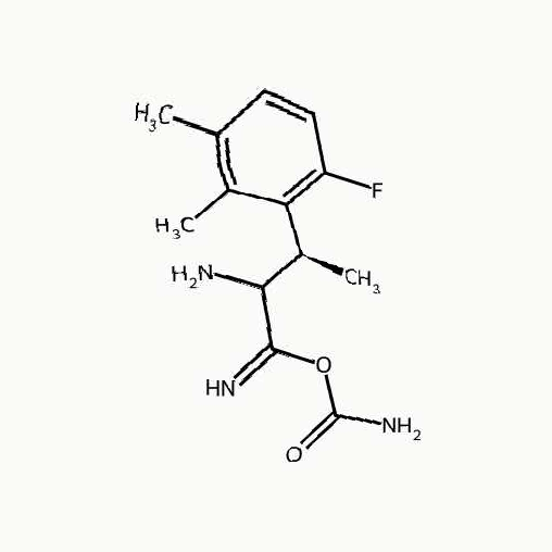 Cc1ccc(F)c([C@@H](C)C(N)C(=N)OC(N)=O)c1C